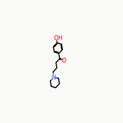 O=C(CCCN1CCCCC1)c1ccc(O)cc1